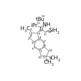 CC1=Cc2cc3c(cc2[CH]1[Ti]([CH]=[SiH2])([NH]C(C)(C)C)[CH](C)C)CC(C)(C)C3